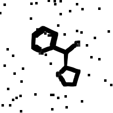 ClC(c1ccccn1)[C@H]1CCCO1